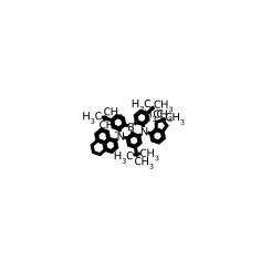 CC1(C)Cc2cccc(N3c4cc(C(C)(C)C)ccc4B4c5ccc(C(C)(C)C)cc5N(c5ccc6c7c(cccc57)CCC6)c5cc(C(C)(C)C)cc3c54)c2C1